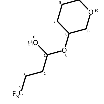 OC(CCC(F)(F)F)OC1CCCOC1